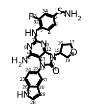 NSc1ccc(Nc2nc(N)c3c(n2)n(C2CCOC2)c(=O)n3-c2ccc3[nH]ccc3c2)c(F)c1